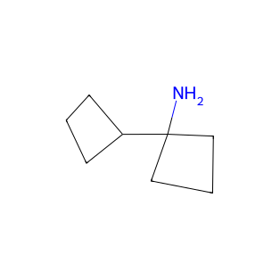 NC1(C2CCC2)CCC1